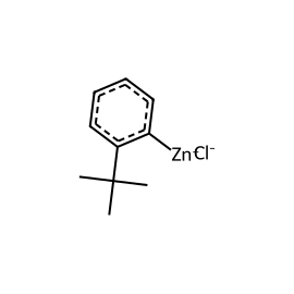 CC(C)(C)c1cccc[c]1[Zn+].[Cl-]